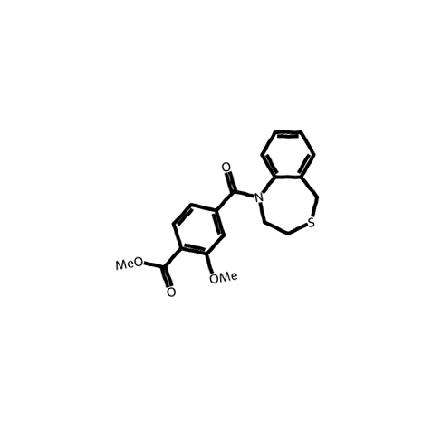 COC(=O)c1ccc(C(=O)N2CCSCc3ccccc32)cc1OC